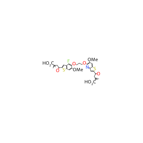 COc1cc2sc(C(=O)C[C@@H](C)C(=O)O)cc2nc1OCCCOc1c(OC)cc2sc(C(=O)C[C@@H](C)C(=O)O)cc2c1F